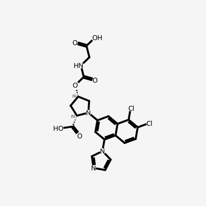 O=C(O)CNC(=O)O[C@H]1C[C@@H](C(=O)O)N(c2cc(-n3ccnc3)c3ccc(Cl)c(Cl)c3c2)C1